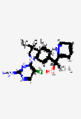 CC1(C)CN(c2nc(N)ncc2Cl)c2cc(C(C)(O)c3ccccn3)ccc21